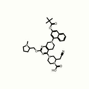 CN1CCCC1COc1nc2c(c(N3CCN(C(=O)O)C(CC#N)C3)n1)CCN(c1cc(OC(=O)C(C)(C)C)cc3ccccc13)C2